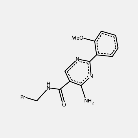 COc1ccccc1-c1ncc(C(=O)NCC(C)C)c(N)n1